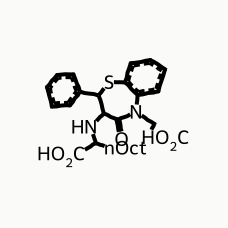 CCCCCCCCC(NC1C(=O)N(CC(=O)O)c2ccccc2SC1c1ccccc1)C(=O)O